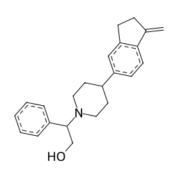 C=C1CCc2cc(C3CCN(C(CO)c4ccccc4)CC3)ccc21